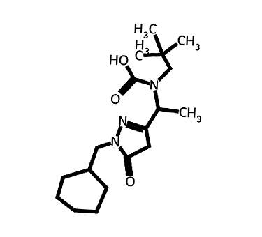 CC(C1=NN(CC2CCCCC2)C(=O)C1)N(CC(C)(C)C)C(=O)O